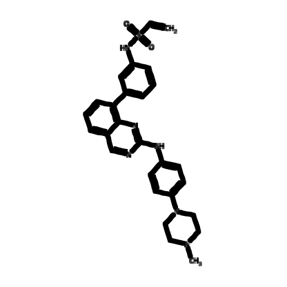 C=CS(=O)(=O)Nc1cccc(-c2cccc3cnc(Nc4ccc(N5CCN(C)CC5)cc4)nc23)c1